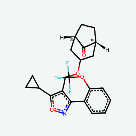 O=C1[C@@H]2CC[C@H]1CC(OCc1c(-c3ccccc3OC(F)(F)F)noc1C1CC1)C2